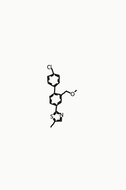 COCc1cc(-c2ncc(C)s2)ccc1-c1ccc(Cl)cc1